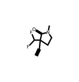 C#CC1(C(F)F)CCN(C)C1=O